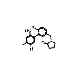 Cc1cc(O)c(-c2cc(CN3CCCC3=O)ccc2F)cc1Cl